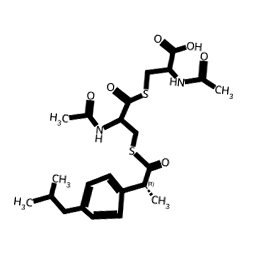 CC(=O)NC(CSC(=O)C(CSC(=O)[C@H](C)c1ccc(CC(C)C)cc1)NC(C)=O)C(=O)O